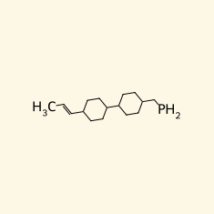 C/C=C/C1CCC(C2CCC(CP)CC2)CC1